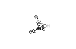 COc1ccc(C=CC(=O)c2cc(C)c(OCCN3CCCC3)c(C)c2)c(C)c1.O=C(O)C(=O)O